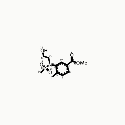 COC(=O)c1ccc(C)c(N(CCO)S(C)(=O)=O)c1